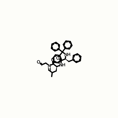 CC(C)C[C@H](NC(=O)[C@H](Cc1ccccc1)NC(c1ccccc1)(c1ccccc1)c1ccccc1)C(=O)NC[C]=O